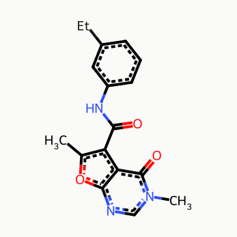 CCc1cccc(NC(=O)c2c(C)oc3ncn(C)c(=O)c23)c1